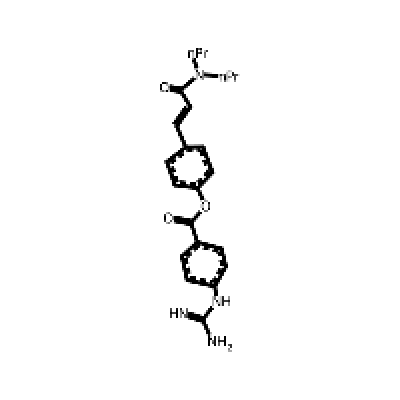 CCCN(CCC)C(=O)/C=C/c1ccc(OC(=O)c2ccc(NC(=N)N)cc2)cc1